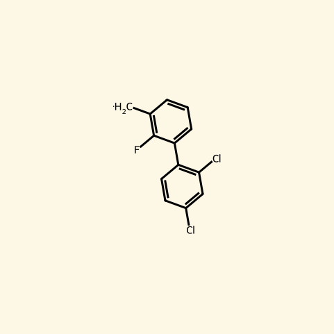 [CH2]c1cccc(-c2ccc(Cl)cc2Cl)c1F